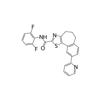 O=C(Nc1c(F)cccc1F)c1nc2c(s1)-c1cc(-c3ccccn3)ccc1CCC2